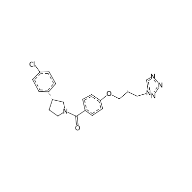 O=C(c1ccc(OC[CH]Cn2cnnn2)cc1)N1CC[C@H](c2ccc(Cl)cc2)C1